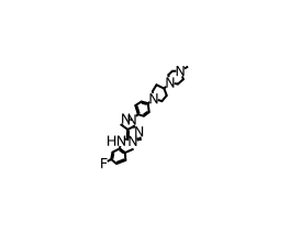 Cc1ccc(F)cc1Nc1ncnc2c1cnn2-c1ccc(N2CCC(N3CCN(C)CC3)CC2)cc1